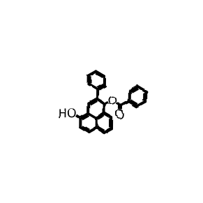 O=C(OC1C(c2ccccc2)=Cc2c(O)ccc3cccc1c23)c1ccccc1